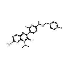 Cc1nc(NSCc2ccc(F)cc2)ccc1-c1nc2cnc(N)nc2n(C(C)C)c1=O